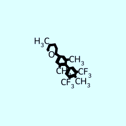 Cc1cc(C2CCC(C)CO2)cc(C)c1-c1cc(C(F)(F)F)c(C)c(C(F)(F)F)c1